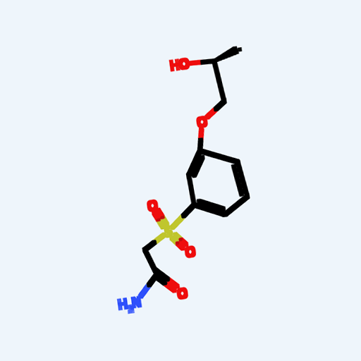 [CH2][C@H](O)COc1cccc(S(=O)(=O)CC(N)=O)c1